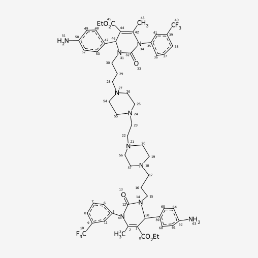 CCOC(=O)C1=C(C)N(c2cccc(C(F)(F)F)c2)C(=O)N(CCCN2CCN(CCN3CCN(CCCN4C(=O)N(c5cccc(C(F)(F)F)c5)C(C)=C(C(=O)OCC)C4c4ccc(N)cc4)CC3)CC2)C1c1ccc(N)cc1